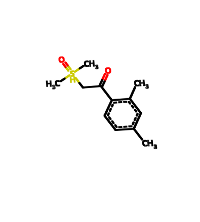 Cc1ccc(C(=O)C[SH](C)(C)=O)c(C)c1